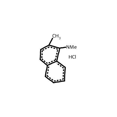 CNc1c(C)ccc2ccccc12.Cl